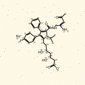 CC(=O)/C=C(/N)CNC(=O)c1c(-c2ccccc2)c(-c2ccc(F)cc2)c(CC[C@@H](O)C[C@@H](O)CC(=O)[O-])n1C(C)C.[Na+]